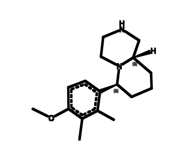 COc1ccc([C@@H]2CCC[C@H]3CNCCN32)c(C)c1C